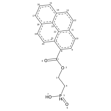 O=C(OCC[PH](=O)O)c1ccc2ccc3cccc4ccc1c2c34